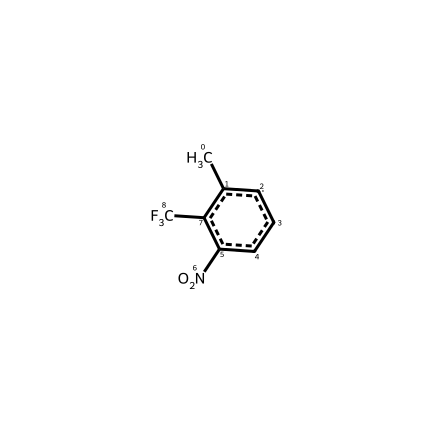 Cc1[c]ccc([N+](=O)[O-])c1C(F)(F)F